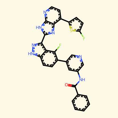 O=C(Nc1cncc(-c2ccc3[nH]nc(-c4nc5c(-c6ccc(F)s6)ccnc5[nH]4)c3c2F)c1)c1ccccc1